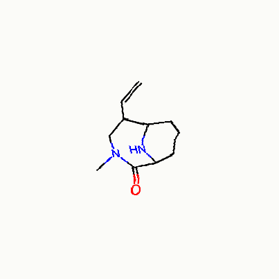 C=CC1CN(C)C(=O)C2CCCC1N2